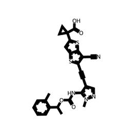 Cc1ccccc1C(C)OC(=O)Nc1c(C#Cc2sc3cc(C4(C(=O)O)CC4)sc3c2C#N)cnn1C